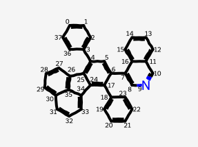 c1ccc(-c2cc(-c3cncc4ccccc34)c(-c3ccccc3)c3c2-c2cccc4cccc-3c24)cc1